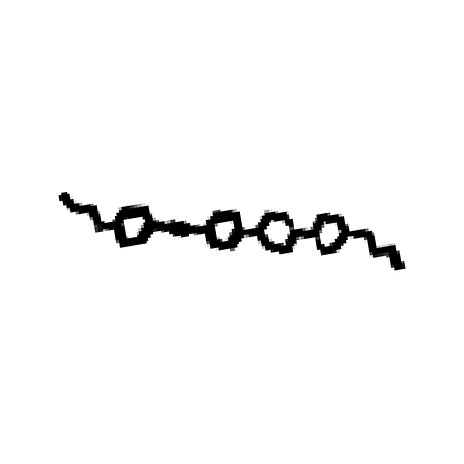 C=CCC[C@H]1CC[C@H]([C@H]2CC[C@H](c3ccc(C#Cc4ccc(OCCC)cc4)cc3)CC2)CC1